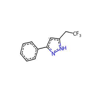 FC(F)(F)Cc1[c]c(-c2ccccc2)n[nH]1